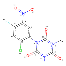 Cn1c(=O)[nH]c(=O)n(-c2cc([N+](=O)[O-])c(F)cc2Cl)c1=O